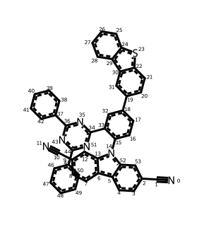 N#Cc1ccc2c3ccc(C#N)cc3n(-c3ccc(-c4ccc5sc6ccccc6c5c4)cc3-c3nc(-c4ccccc4)nc(-c4ccccc4)n3)c2c1